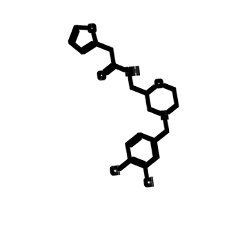 O=C(Cc1ccco1)NCC1CN(Cc2ccc(Cl)c(Cl)c2)CCO1